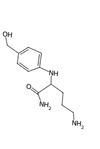 NCCCC(Nc1ccc(CO)cc1)C(N)=O